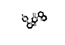 CCN1Cc2c(nc3n2C(N2CCN(C)CC2)CC=C3)CN1[C@H]1CCCc2cccnc21